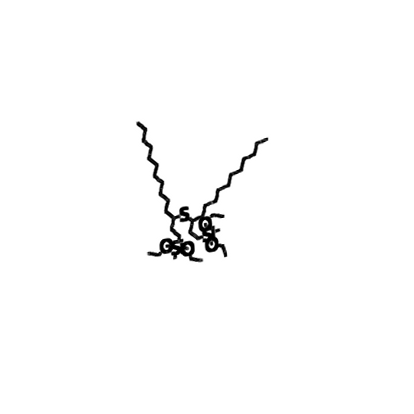 CCCCCCCCCCCC(CC[Si](C)(OCC)OCC)SC(CCCCCCCCCCC)CC[Si](C)(OCC)OCC